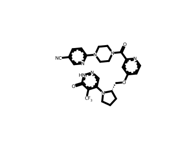 N#Cc1ccc(N2CCN(C(=O)c3cc(OC[C@@H]4CCCN4c4cn[nH]c(=O)c4C(F)(F)F)ccn3)CC2)nc1